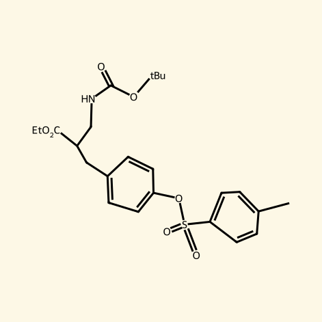 CCOC(=O)C(CNC(=O)OC(C)(C)C)Cc1ccc(OS(=O)(=O)c2ccc(C)cc2)cc1